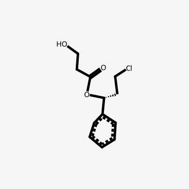 O=C(CCO)O[C@H](CCCl)c1ccccc1